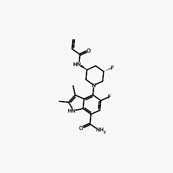 C=CC(=O)N[C@H]1C[C@H](F)CN(c2c(F)cc(C(N)=O)c3[nH]c(C)c(C)c23)C1